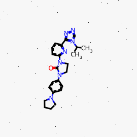 CC(C)n1cnnc1-c1cccc(N2CCN(c3ccc(N4CCCC4)cc3)C2=O)n1